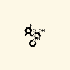 Cc1ccc(F)cc1Cn1c(N2CCCCC2)ncc(O)c1=O